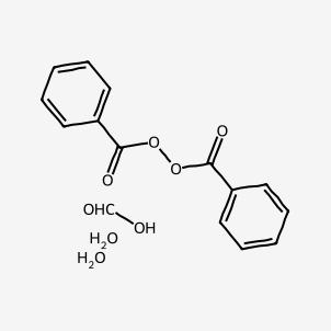 O.O.O=C(OOC(=O)c1ccccc1)c1ccccc1.O=CO